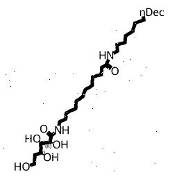 CCCCCCCCCCCCCCCCCNC(=O)CCCCCCCCCCCNC(=O)[C@H](O)[C@@H](O)[C@H](O)CCO